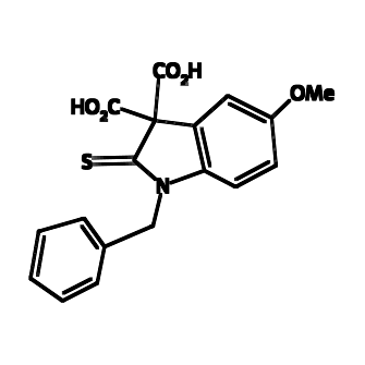 COc1ccc2c(c1)C(C(=O)O)(C(=O)O)C(=S)N2Cc1ccccc1